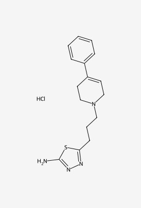 Cl.Nc1nnc(CCCN2CC=C(c3ccccc3)CC2)s1